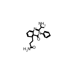 CC(N)c1nc2cccc(CCC(N)=O)c2c(=O)n1-c1ccccc1